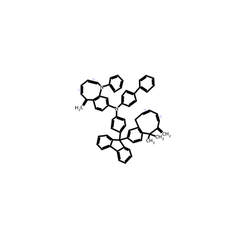 C=C1/C=C\C=C/N(c2ccccc2)c2cc(N(c3ccc(-c4ccccc4)cc3)c3ccc(C4(c5ccc6c(c5)C/C=C\C=C/C(=C)C6(C)C)c5ccccc5-c5ccccc54)cc3)ccc21